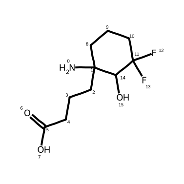 NC1(CCCC(=O)O)CCCC(F)(F)C1O